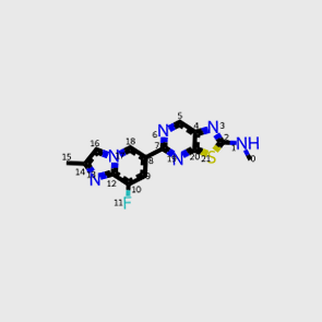 CNc1nc2cnc(-c3cc(F)c4nc(C)cn4c3)nc2s1